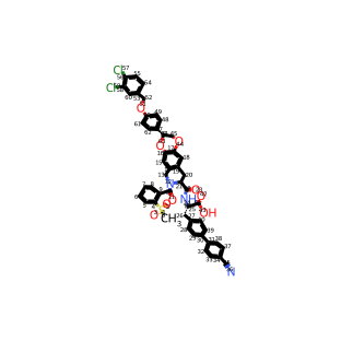 CS(=O)(=O)c1ccccc1C(=O)N1Cc2cc3c(cc2CC1C(=O)N[C@@H](Cc1ccc(-c2ccc(C#N)cc2)cc1)C(=O)O)OC[C@H](c1ccc(OCc2ccc(Cl)c(Cl)c2)cc1)O3